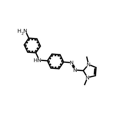 CN1C=CN(C)C1/N=N/c1ccc(Nc2ccc(N)cc2)cc1